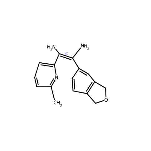 Cc1cccc(/C(N)=C(/N)c2ccc3c(c2)COC3)n1